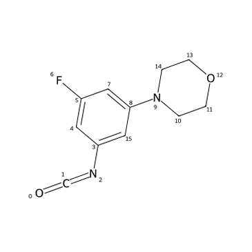 O=C=Nc1cc(F)cc(N2CCOCC2)c1